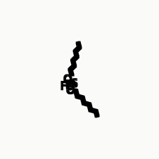 CCCCCCCCOP(F)(=S)OCCCCCCCC